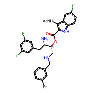 CCc1cccc(CNC[C@@H](OC(=O)c2[nH]c3ccc(F)cc3c2NC(C)=O)[C@@H](N)Cc2cc(F)cc(F)c2)c1